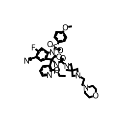 CCOc1ncccc1[C@@]1(NC(=O)N2CC3(CN(CCN4CCOCC4)C3)C2)C(=O)N(S(=O)(=O)c2ccc(OC)cc2)c2cc(F)c(C#N)cc21